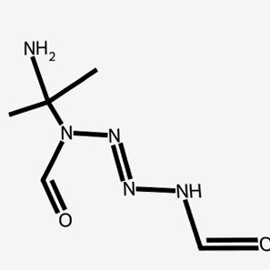 CC(C)(N)N(C=O)N=NNC=O